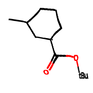 CC1CCC[C](C(=O)OC(C)(C)C)C1